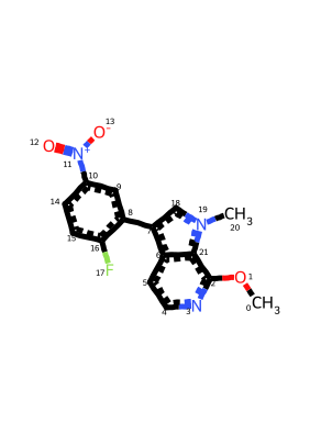 COc1nccc2c(-c3cc([N+](=O)[O-])ccc3F)cn(C)c12